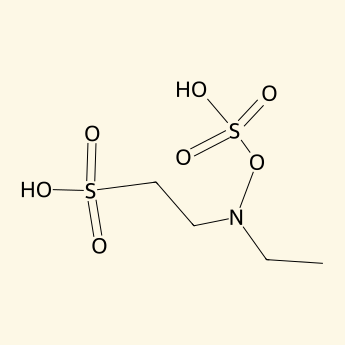 CCN(CCS(=O)(=O)O)OS(=O)(=O)O